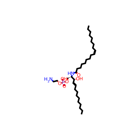 CCCCCCCC/C=C\CCCCCCCC(=O)N[C@@H](COP(=O)(O)OCCN)[C@H](O)/C=C/CCCCCCCCC